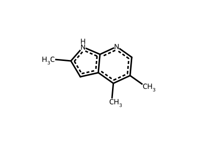 Cc1cc2c(C)c(C)cnc2[nH]1